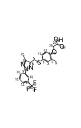 Cc1cc(SCc2nn(-c3cccc(C(F)(F)F)c3)nc2C)ccc1OCC(=O)O